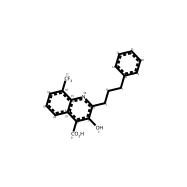 O=C(O)c1c(O)c(CCCc2ccccc2)nc2c(C(F)(F)F)cccc12